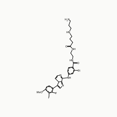 CCc1cc(NC2=NC=CC3C(c4ccc(OC)c(F)c4F)=CN=C23)ccc1C(=O)NCCNC(=O)CCCNCCCN